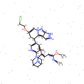 C=N/C(=C\C=C(/C)CN1C2CC1CN(c1ccc(C3CC(OCCCl)=Cn4nc5[nH]ncc5c43)cn1)C2)OC